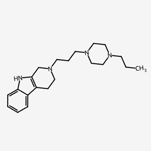 CCCN1CCN(CCCN2CCc3c([nH]c4ccccc34)C2)CC1